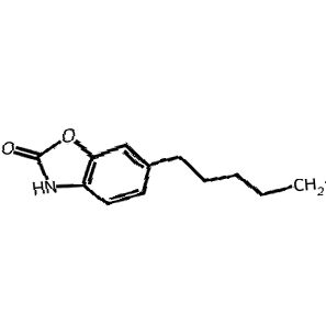 [CH2]CCCCc1ccc2[nH]c(=O)oc2c1